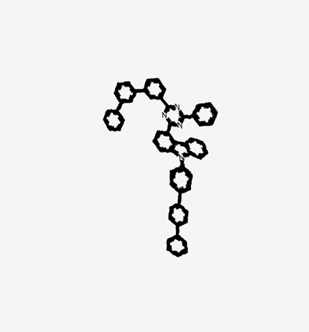 c1ccc(-c2ccc(-c3ccc(-n4c5ccccc5c5c(-c6nc(-c7ccccc7)nc(-c7cccc(-c8cccc(-c9ccccc9)c8)c7)n6)cccc54)cc3)cc2)cc1